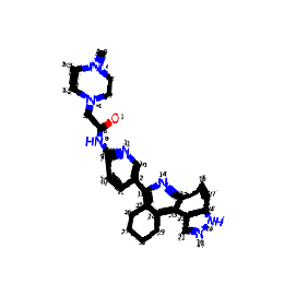 CN1CCN(CC(=O)Nc2ccc(-c3nc4ccc5[nH]ncc5c4c4c3CCCC4)cn2)CC1